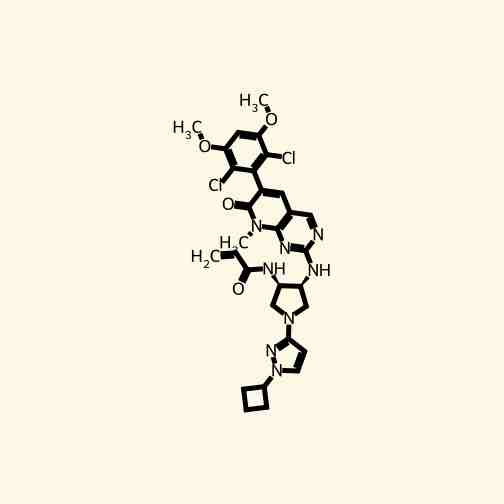 C=CC(=O)N[C@@H]1CN(c2ccn(C3CCC3)n2)C[C@@H]1Nc1ncc2cc(-c3c(Cl)c(OC)cc(OC)c3Cl)c(=O)n(C)c2n1